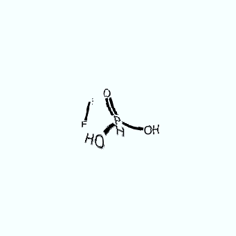 O=[PH](O)O.[C]F